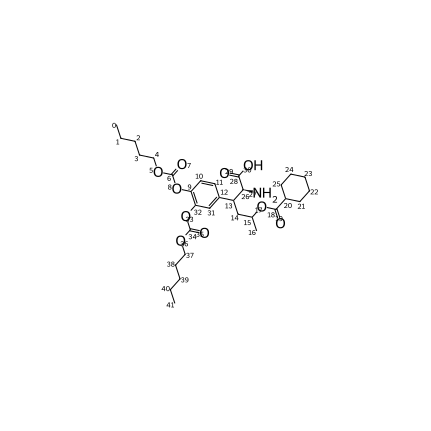 CCCCCOC(=O)Oc1ccc(C(CC(C)OC(=O)C2CCCCC2)[C@H](N)C(=O)O)cc1OC(=O)OCCCCC